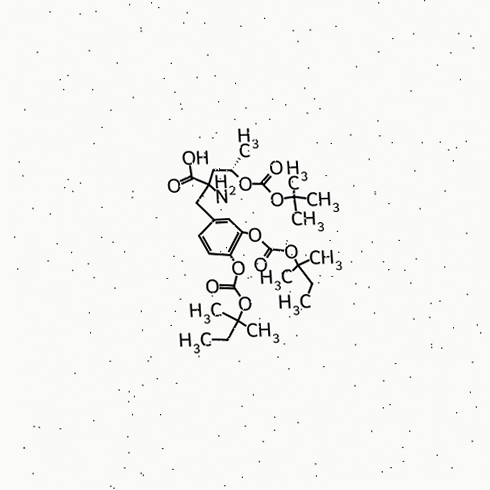 CCC(C)(C)OC(=O)Oc1ccc(CC(N)(C[C@H](C)OC(=O)OC(C)(C)C)C(=O)O)cc1OC(=O)OC(C)(C)CC